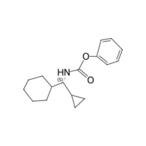 O=C(N[C@@H](C1CCCCC1)C1CC1)Oc1ccccc1